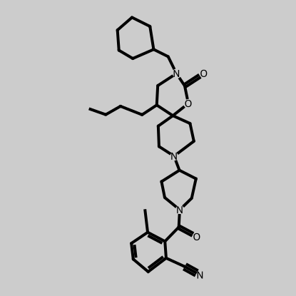 CCCCC1CN(CC2CCCCC2)C(=O)OC12CCN(C1CCN(C(=O)c3c(C)cccc3C#N)CC1)CC2